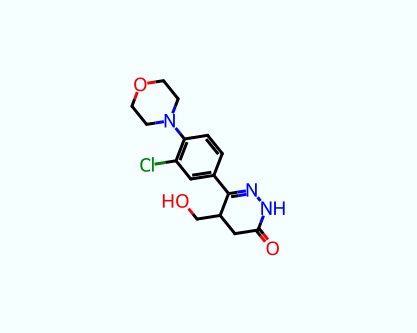 O=C1CC(CO)C(c2ccc(N3CCOCC3)c(Cl)c2)=NN1